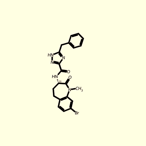 CN1C(=O)[C@@H](NC(=O)c2n[nH]c(Cc3ccccc3)n2)CCc2ccc(Br)cc21